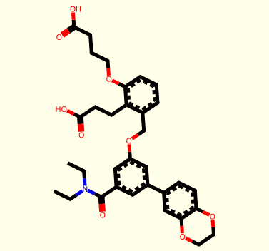 CCN(CC)C(=O)c1cc(OCc2cccc(OCCCC(=O)O)c2CCC(=O)O)cc(-c2ccc3c(c2)OCCO3)c1